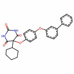 O=C1NC(=O)C(Oc2ccc(Oc3cccc(-c4ccccc4)c3)cc2)(C2CCCCC2)C(=O)N1